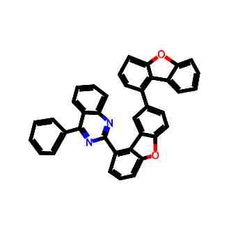 c1ccc(-c2nc(-c3cccc4oc5ccc(-c6cccc7oc8ccccc8c67)cc5c34)nc3ccccc23)cc1